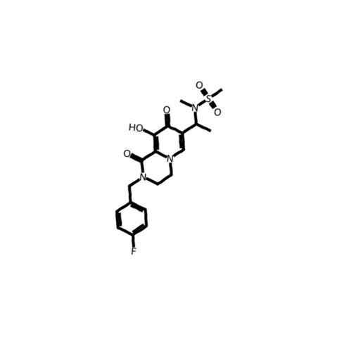 CC(c1cn2c(c(O)c1=O)C(=O)N(Cc1ccc(F)cc1)CC2)N(C)S(C)(=O)=O